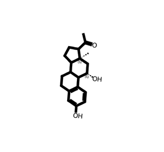 CC(=O)C1CCC2C3CCc4cc(O)ccc4C3[C@@H](O)C[C@]12C